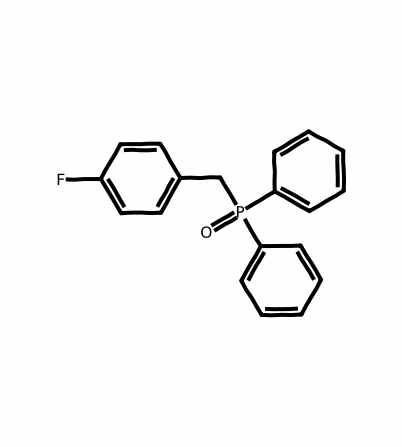 O=P(Cc1ccc(F)cc1)(c1ccccc1)c1ccccc1